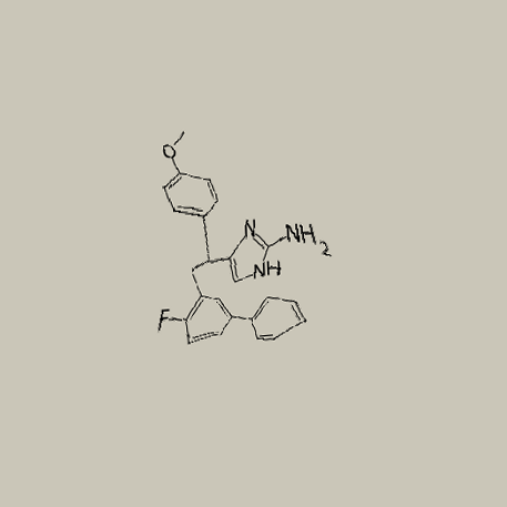 COc1ccc(C(Cc2cc(-c3ccccc3)ccc2F)c2c[nH]c(N)n2)cc1